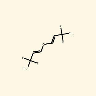 FC(F)(F)C(F)(F)C=COC=CC(F)(F)C(F)(F)F